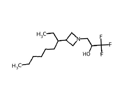 CCCCCCC(CC)C1CN(CC(O)C(F)(F)F)C1